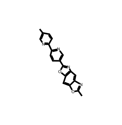 Cc1ccc(-c2ccc(-c3nc4cc5nc(C)oc5cc4o3)cn2)nc1